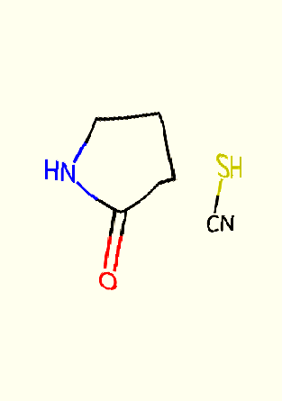 N#CS.O=C1CCCN1